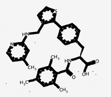 Cc1ccnc(NCc2ccsc2-c2ccc(C[C@H](NC(=O)c3c(C)cc(C)cc3C)C(=O)O)cc2)c1